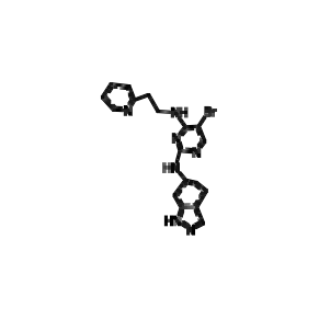 Brc1cnc(Nc2ccc3cn[nH]c3c2)nc1NCCc1ccccn1